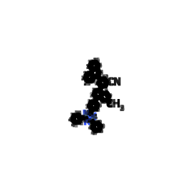 CC1C=Cc2c(-c3cc(C#N)cc(-c4cc5ccccc5c5ccccc45)c3)ccc(-c3ccc(-c4nc(-c5ccccc5)nc(-c5ccccc5)n4)cc3)c2C1